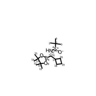 CC(C)(C)[S@+]([O-])N[C@@H](B1OC(C)(C)C(C)(C)O1)C1CCC1